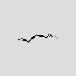 C#CCC#CCC#CCON